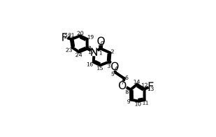 O=c1cc(OCCOc2cccc(F)c2)ccn1-c1ccc(F)cc1